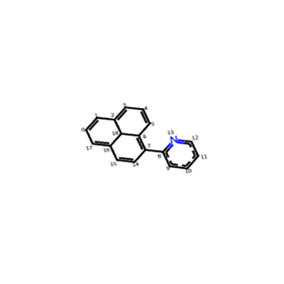 C1=CC2=CC=CC3=C(c4ccccn4)C=CC(=C1)C23